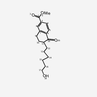 COC(=O)c1ccc2c(c1)CCC(CCCCCCO)C2=O